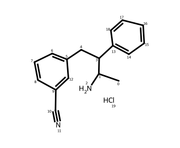 CC(N)C(Cc1cccc(C#N)c1)c1ccccc1.Cl